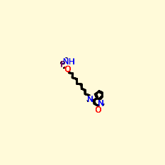 CNP(C)COCCCCCCCCCCN(C)c1cc(=O)n(C)c2ccccc12